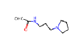 O=CC(=O)NCCCN1CCCC1